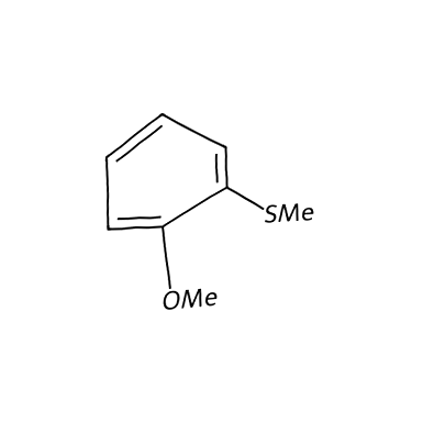 [CH2]Oc1ccccc1SC